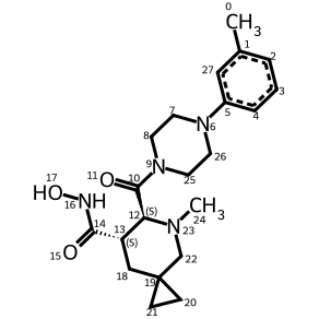 Cc1cccc(N2CCN(C(=O)[C@@H]3[C@@H](C(=O)NO)CC4(CC4)CN3C)CC2)c1